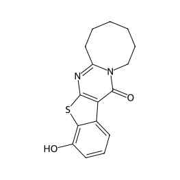 O=c1c2c(nc3n1CCCCCC3)sc1c(O)cccc12